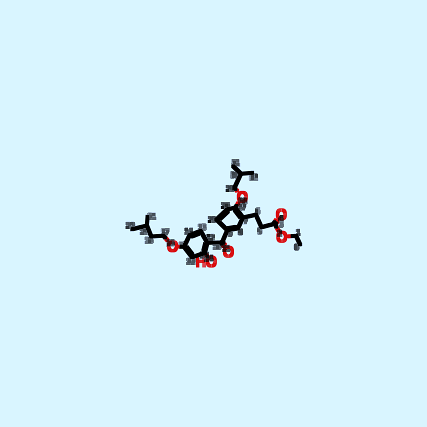 CCOC(=O)CCc1cc(C(=O)c2ccc(OCCC(C)C)cc2O)ccc1OCC(C)C